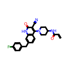 C=CC(=O)NC1CCN(c2c(C#N)c(=O)[nH]c3cc(Cc4ccc(F)cc4)ccc23)CC1